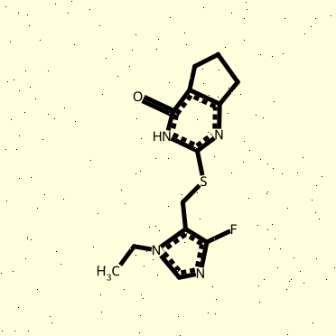 CCn1cnc(F)c1CSc1nc2c(c(=O)[nH]1)CCC2